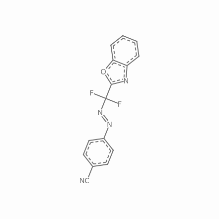 N#Cc1ccc(N=NC(F)(F)c2nc3ccccc3o2)cc1